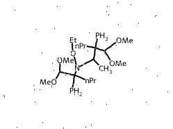 CCCC(P)(C(OC)OC)C(C)N(OCC)C(P)(CCC)C(OC)OC